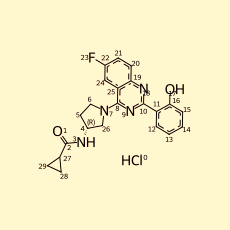 Cl.O=C(N[C@@H]1CCN(c2nc(-c3ccccc3O)nc3ccc(F)cc23)C1)C1CC1